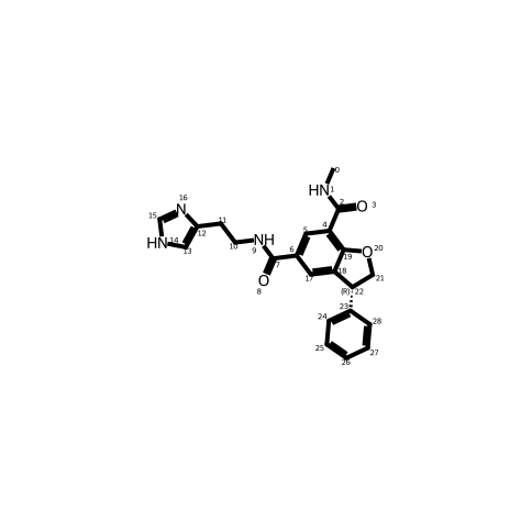 CNC(=O)c1cc(C(=O)NCCc2c[nH]cn2)cc2c1OC[C@@H]2c1ccccc1